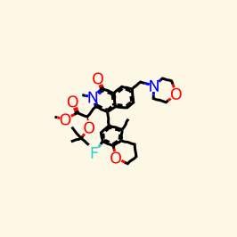 COC(=O)[C@@H](OC(C)(C)C)c1c(-c2cc(F)c3c(c2C)CCCO3)c2ccc(CN3CCOCC3)cc2c(=O)n1C